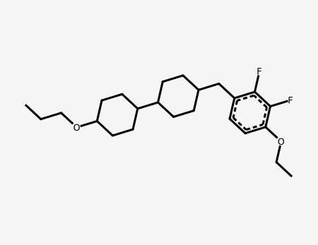 CCCOC1CCC(C2CCC(Cc3ccc(OCC)c(F)c3F)CC2)CC1